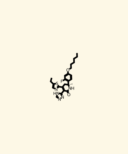 CCCCCCOc1ccc([C@]2(C)CC(c3ncc(CC)s3)=C(c3nnc[nH]3)C(=O)N2)c(F)c1